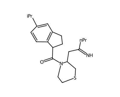 CCCC(=N)CC1CSCCN1C(=O)C1CCc2cc(C(C)C)ccc21